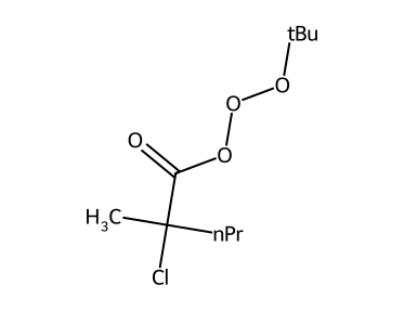 CCCC(C)(Cl)C(=O)OOOC(C)(C)C